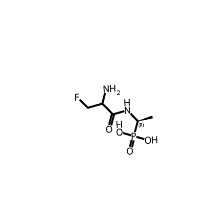 C[C@H](NC(=O)C(N)CF)P(=O)(O)O